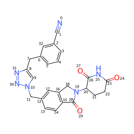 N#Cc1cccc(Cc2cn(Cc3ccc4c(c3)CN(C3CCC(=O)NC3=O)C4=O)nn2)c1